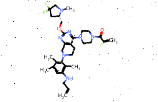 C=CCNc1cc(C)c(C)c(N2CCc3c(nc(OC[C@@H]4CC(F)(F)CN4C)nc3N3CCN(C(=O)C(=C)F)CC3)C2)c1C